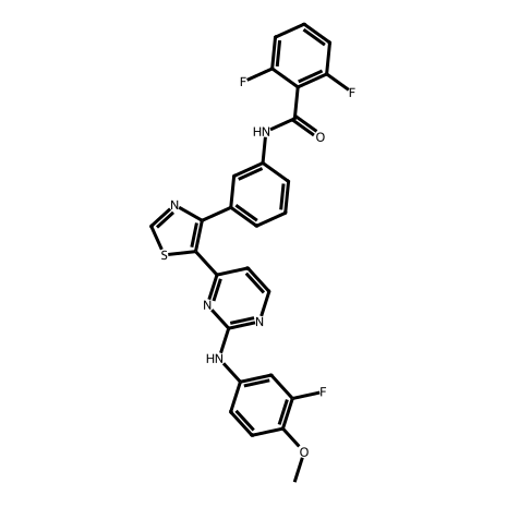 COc1ccc(Nc2nccc(-c3scnc3-c3cccc(NC(=O)c4c(F)cccc4F)c3)n2)cc1F